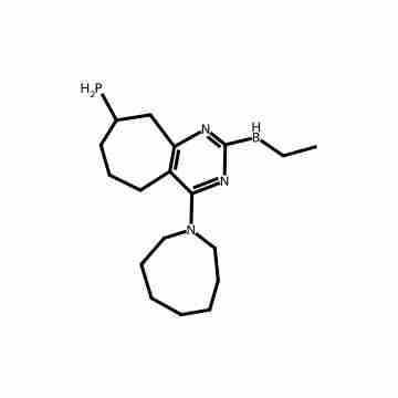 CCBc1nc2c(c(N3CCCCCCC3)n1)CCCC(P)C2